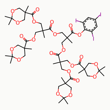 CC1(C)OCC(C)(C(=O)OCC(C)(COC(=O)C2(C)COC(C)(C)OC2)C(=O)OCC(C)(COC(=O)C(C)(COC(=O)C2(C)COC(C)(C)OC2)COC(=O)C2(C)COC(C)(C)OC2)C(=O)Oc2c(I)cc(I)cc2I)CO1